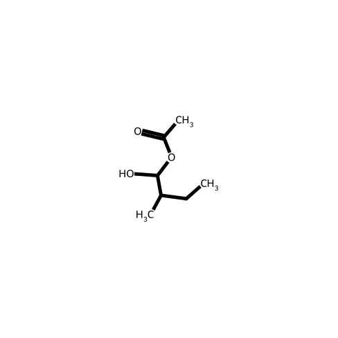 CCC(C)C(O)OC(C)=O